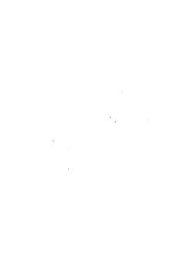 CCOC(=O)N1CCC(C(=O)Cl)CC1